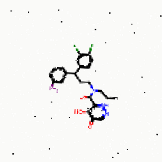 CCCN(CCC(c1cccc(P)c1)c1ccc(F)c(F)c1)C(=O)c1[nH]ncc(=O)c1O